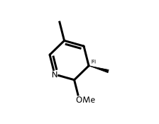 COC1N=CC(C)=C[C@H]1C